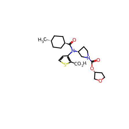 C[C@H]1CC[C@H](C(=O)N(c2ccsc2C(=O)O)[C@H]2CCN(C(=O)O[C@@H]3CCOC3)C2)CC1